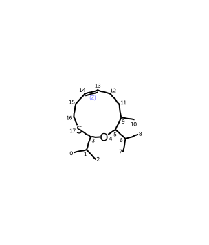 CC(C)C1OC(C(C)C)C(C)CC/C=C\CCS1